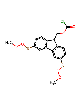 COOSc1ccc2c(c1)-c1cc(SOOC)ccc1C2COC(=O)Cl